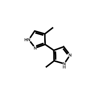 Cc1c[nH]nc1-c1[c]n[nH]c1C